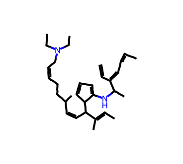 C=C/C(=C\C=C/C)C(C)NC1=CC=CC1C(/C=C\C(C)CC/C=C\CN(CC)CC)/C(C)=C/C